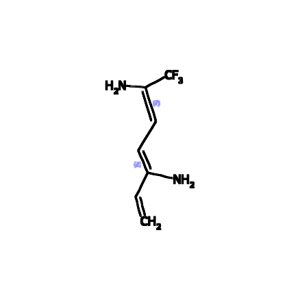 C=C/C(N)=C/C=C(\N)C(F)(F)F